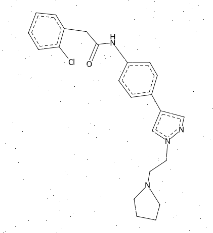 O=C(Cc1ccccc1Cl)Nc1ccc(-c2cnn(CCN3CCCC3)c2)cc1